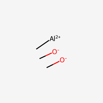 C[O-].C[O-].[CH3][Al+2]